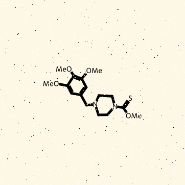 COC(=S)N1CCN(Cc2cc(OC)c(OC)c(OC)c2)CC1